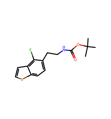 CC(C)(C)OC(=O)NCCc1ccc2sccc2c1F